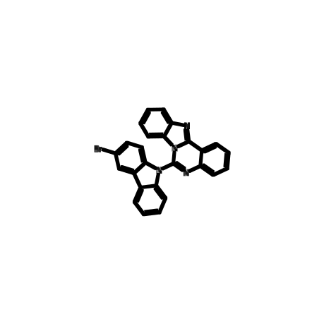 Brc1ccc2c(c1)c1ccccc1n2-c1nc2ccccc2c2nc3ccccc3n12